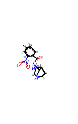 O=C(NC1CN2CCC1CC2)c1ccccc1[N+](=O)[O-]